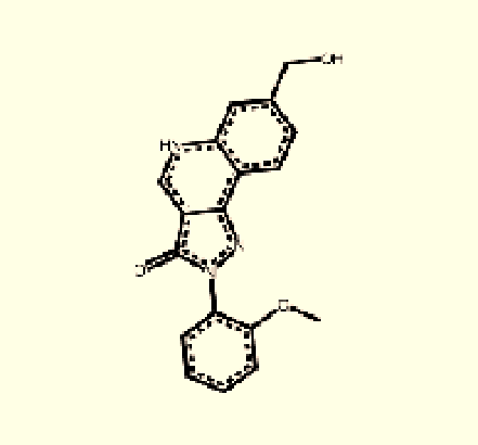 COc1ccccc1-n1nc2c3ccc(CO)cc3[nH]cc-2c1=O